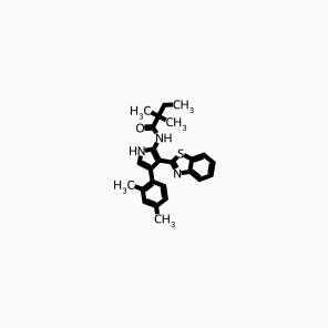 CCC(C)(C)C(=O)Nc1[nH]cc(-c2ccc(C)cc2C)c1-c1nc2ccccc2s1